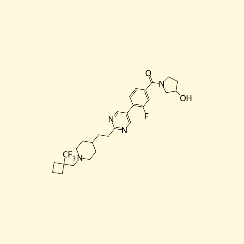 O=C(c1ccc(-c2cnc(CCC3CCN(CC4(C(F)(F)F)CCC4)CC3)nc2)c(F)c1)N1CCC(O)C1